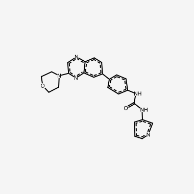 O=C(Nc1ccc(-c2ccc3ncc(N4CCOCC4)nc3c2)cc1)Nc1cccnc1